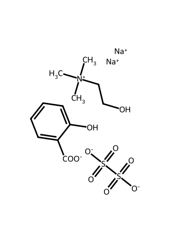 C[N+](C)(C)CCO.O=C([O-])c1ccccc1O.O=S(=O)([O-])S(=O)(=O)[O-].[Na+].[Na+]